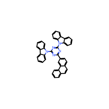 c1ccc2c(c1)ccc1ccc(-c3nc(-n4c5ccccc5c5ccccc54)nc(-n4c5ccccc5c5ccccc54)n3)cc12